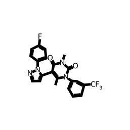 Cc1c(-c2ccnn2-c2ccc(F)cc2)c(=O)n(C)c(=O)n1-c1cccc(C(F)(F)F)c1